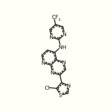 FC(F)(F)c1cnc(Nc2ccnc3nc(-c4ncsc4Cl)cnc23)nc1